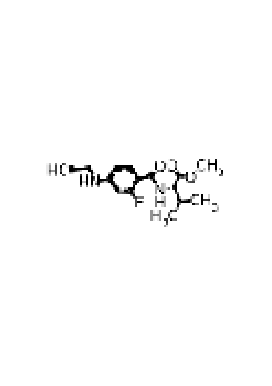 C#CCNc1ccc(C(=O)N[C@H](C(=O)OC)C(C)C)c(F)c1